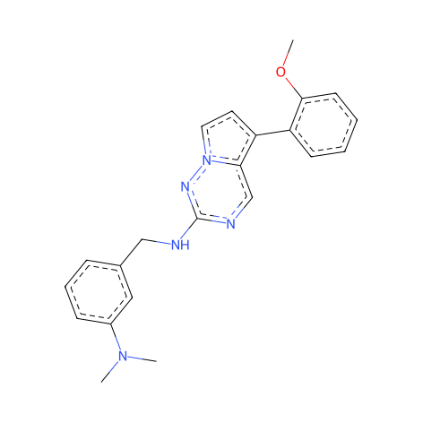 COc1ccccc1-c1ccn2nc(NCc3cccc(N(C)C)c3)ncc12